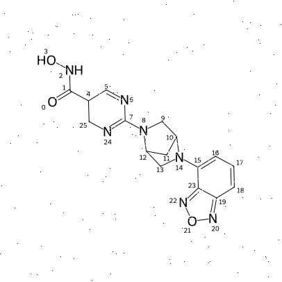 O=C(NO)C1C=NC(N2CC3CC2CN3c2cccc3nonc23)=NC1